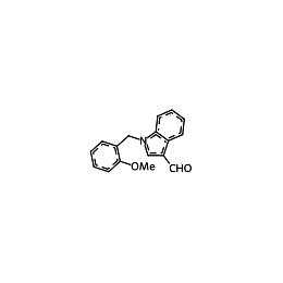 COc1ccccc1Cn1cc(C=O)c2ccccc21